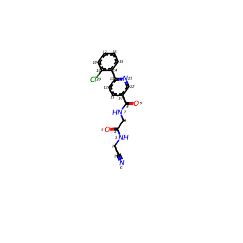 N#CCNC(=O)CNC(=O)c1ccc(-c2ccccc2Cl)nc1